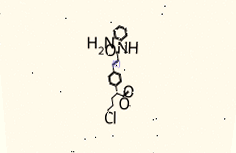 COC(=O)C(CCCCl)c1ccc(/C=C/C(=O)Nc2ccccc2N)cc1